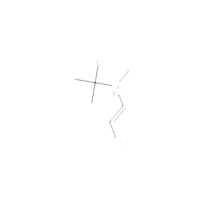 CCC(C)C=C[SiH](C)C(C)(C)CC